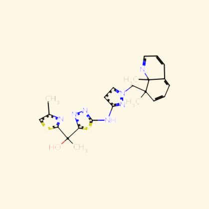 Cc1csc(C(C)(O)c2nnc(Nc3ccn(CC4(C)C=CC=C5C=CC=NC54C)n3)s2)n1